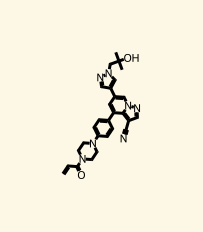 C=CC(=O)N1CCN(c2ccc(-c3cc(-c4cnn(CC(C)(C)O)c4)cn4ncc(C#N)c34)cc2)CC1